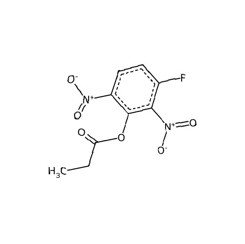 CCC(=O)Oc1c([N+](=O)[O-])ccc(F)c1[N+](=O)[O-]